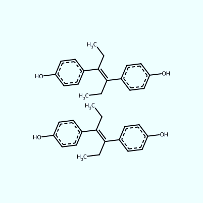 CC/C(=C(/CC)c1ccc(O)cc1)c1ccc(O)cc1.CC/C(=C(/CC)c1ccc(O)cc1)c1ccc(O)cc1